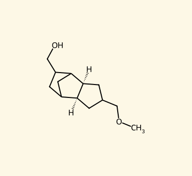 COCC1C[C@@H]2C3CC(CC3CO)[C@@H]2C1